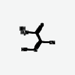 N#CC(=NO)C(N)=O.[KH]